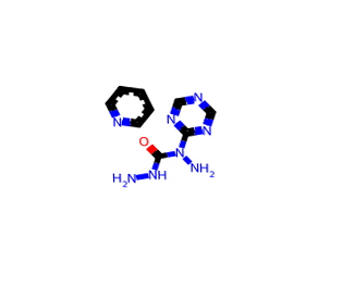 NNC(=O)N(N)c1ncncn1.c1ccncc1